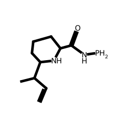 C=CC(C)C1CCCC(C(=O)NP)N1